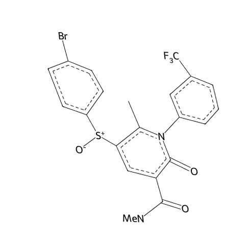 CNC(=O)c1cc([S+]([O-])c2ccc(Br)cc2)c(C)n(-c2cccc(C(F)(F)F)c2)c1=O